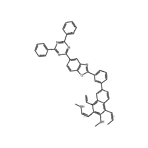 C=Cc1c(/C=C\BC)c(BC)c(/C=C\C)c2ccc(-c3cccc(-c4nc5cc(-c6nc(-c7ccccc7)nc(-c7ccccc7)n6)ccc5o4)c3)cc12